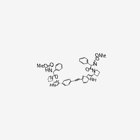 COO/C=N/[C@@H](C(=O)N1CCC[C@H]1c1cc2cc(C#Cc3ccc(-c4c[nH]c([C@@H]5CCCN5C(=O)[C@H](NC(=O)OC)c5ccccc5)n4)cc3)ccc2[nH]1)c1ccccc1